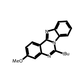 COc1ccc2c(c1)nc(C(C)(C)C)n1c3ccccc3nc21